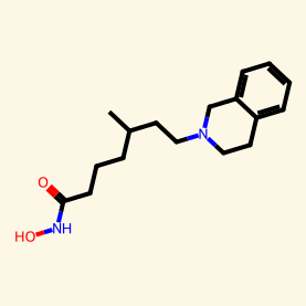 CC(CCCC(=O)NO)CCN1CCc2ccccc2C1